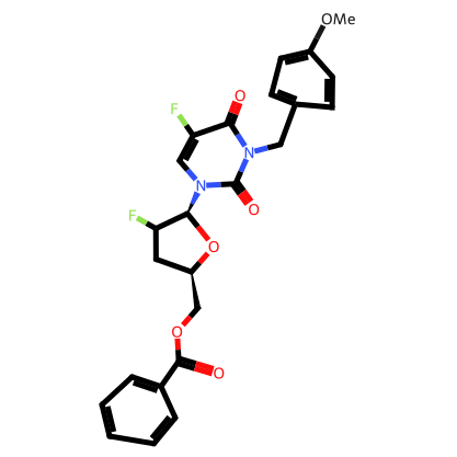 COc1ccc(Cn2c(=O)c(F)cn([C@H]3O[C@@H](COC(=O)c4ccccc4)CC3F)c2=O)cc1